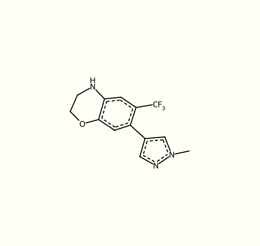 Cn1cc(-c2cc3c(cc2C(F)(F)F)NCCO3)cn1